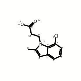 Cc1cc2cccc(Cl)c2n1CCC(=O)O